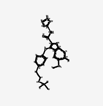 COc1cc2c(Oc3ccc(CCSC(C)(C)C)cc3)c(C(=O)Nc3nn[nH]n3)sc2cc1C